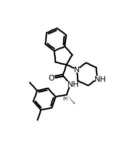 Cc1cc(C)cc([C@@H](C)NC(=O)C2(N3CCNCC3)Cc3ccccc3C2)c1